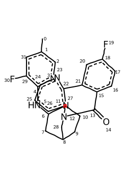 Cc1cnc(NC2CC3CCC2N(C(=O)c2ccc(F)cc2-c2ncccn2)C3)c(F)c1